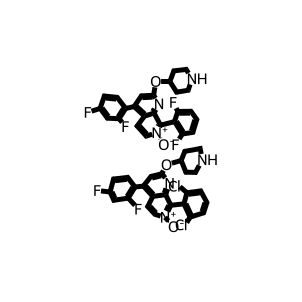 [O-][n+]1ccc2c(-c3ccc(F)cc3F)cc(OC3CCNCC3)nc2c1-c1c(Cl)cccc1Cl.[O-][n+]1ccc2c(-c3ccc(F)cc3F)cc(OC3CCNCC3)nc2c1-c1c(F)cccc1F